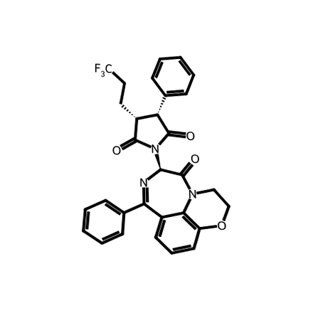 O=C1[C@H](N2C(=O)[C@H](CCC(F)(F)F)[C@H](c3ccccc3)C2=O)N=C(c2ccccc2)c2cccc3c2N1CCO3